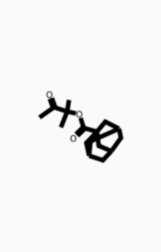 CC(=O)C(C)(C)OC(=O)C12CC3CC(CC(C3)C1)C2